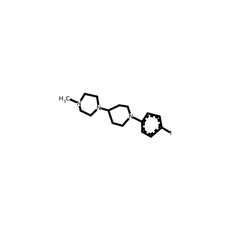 CN1CCN(C2CCN(c3ccc(I)cc3)CC2)CC1